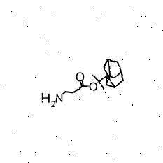 CC(C)(OC(=O)CCN)C12CC3CC(CC(C3)C1)C2